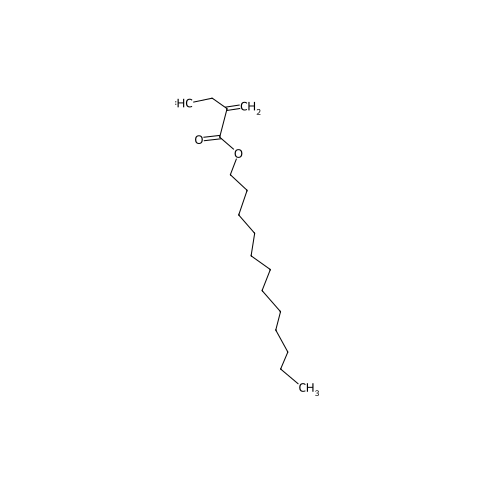 [CH]CC(=C)C(=O)OCCCCCCCCCCCC